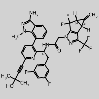 C=C1[C@@H]2c3c(C(F)(F)F)nn(CC(=O)N[C@@H](Cc4cc(F)cc(F)c4)c4nc(C#CC(C)(C)O)ccc4-c4cccc5c(N)nn(C)c45)c3C(F)(F)[C@H]12